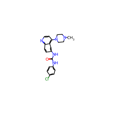 CN1CCN(c2ccnc3ccc(NC(=O)Nc4ccc(Cl)cc4)cc23)CC1